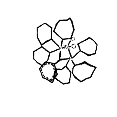 [Cl][Ru]1([Cl])[P](C2CCCCC2)(C2CCCCC2)(C2CCCCC2)C(c2ccccc2)[P]1(C1CCCCC1)(C1CCCCC1)C1CCCCC1